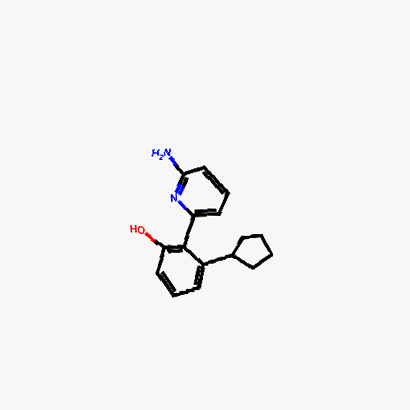 Nc1cccc(-c2c(O)cccc2C2CCCC2)n1